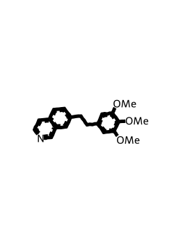 COc1cc(CCc2ccc3ccncc3c2)cc(OC)c1OC